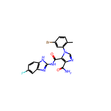 Cc1ccc(Br)cc1-n1cnc(C(N)=O)c1C(=O)Nc1nc2cc(F)ccc2[nH]1